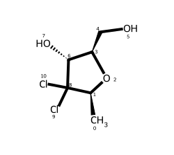 C[C@@H]1O[C@H](CO)[C@@H](O)C1(Cl)Cl